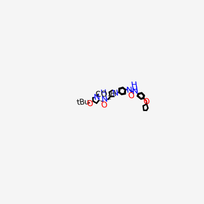 CC(C)(C)O[C@@H]1C[C@@H](C(=O)NCC2CCN(c3ccc(NC(=O)Nc4ccc(OC5CCCC5)cc4)cc3)C2)N(C(=O)O)C1